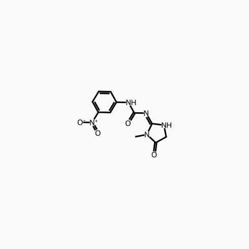 CN1C(=O)CNC1=NC(=O)Nc1cccc([N+](=O)[O-])c1